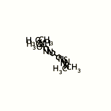 CN(C)c1nsc(N2CCC(C3CCN(c4ccc(C(=O)NC(C)(C)C)cn4)CC3)CC2)n1